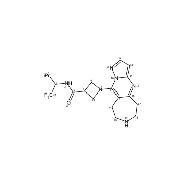 CC(C)C(NC(=O)C1CN(c2c3c(nc4ccnn24)CCNCC3)C1)C(F)(F)F